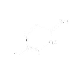 C/N=C(C)\C=C/C=N